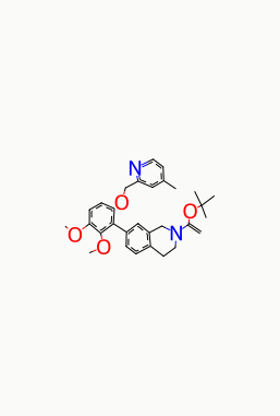 C=C(OC(C)(C)C)N1CCc2ccc(-c3c(OCc4cc(C)ccn4)ccc(OC)c3OC)cc2C1